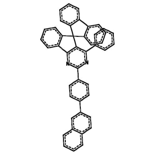 c1ccc(-c2nc(-c3ccc(-c4ccc5ccccc5c4)cc3)nc3c2C2(c4ccccc4-c4ccccc42)c2ccccc2-3)cc1